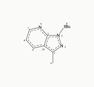 Cc1nn(C(C)(C)C)c2ncccc12